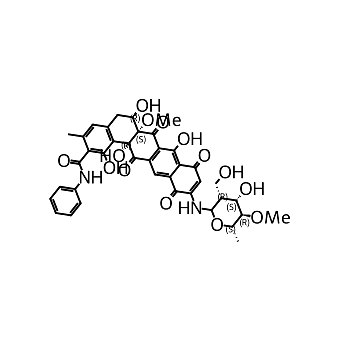 CO[C@@H]1[C@@H](O)[C@@H](CO)C(NC2=CC(=O)c3c(cc4c(c3O)C(=O)[C@]3(OC)[C@H](O)Cc5cc(C)c(C(=O)Nc6ccccc6)c(O)c5[C@]3(O)C4=O)C2=O)O[C@H]1C